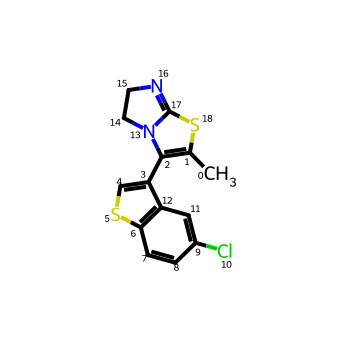 CC1=C(c2csc3ccc(Cl)cc23)N2CCN=C2S1